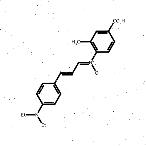 CCN(CC)c1ccc(C=CC=[N+]([O-])c2ccc(C(=O)O)cc2C)cc1